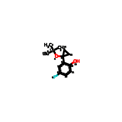 CC(C)(C)[Si](C)(C)OC1(c2cc(F)ccc2O)CC1